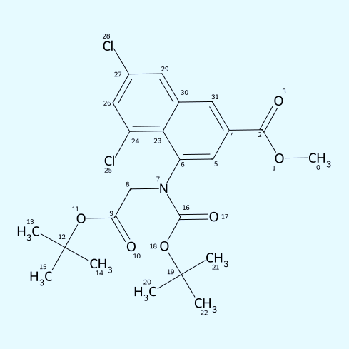 COC(=O)c1cc(N(CC(=O)OC(C)(C)C)C(=O)OC(C)(C)C)c2c(Cl)cc(Cl)cc2c1